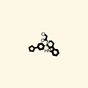 O=C(CCl)N1CCc2c([nH]c3ccccc23)[C@@H]1c1ccc(C2CCCC2)cc1